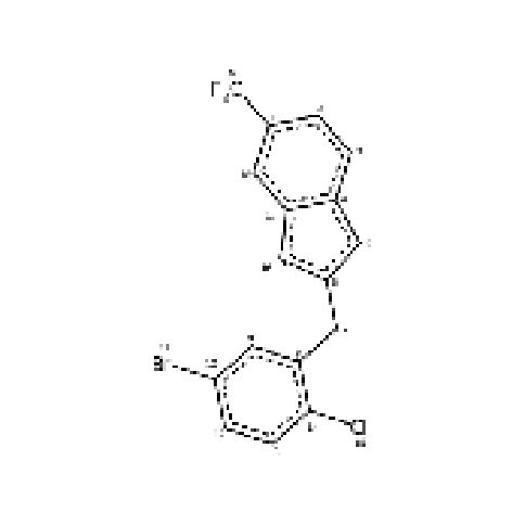 FC(F)(F)c1ccc2cc(Cc3cc(Br)ccc3Cl)sc2c1